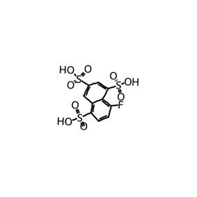 O=S(=O)(O)c1cc(S(=O)(=O)O)c2c(F)ccc(S(=O)(=O)O)c2c1